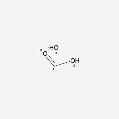 O=CO.[OH]